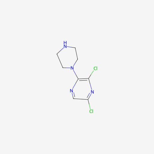 Clc1cnc(N2CCNCC2)c(Cl)n1